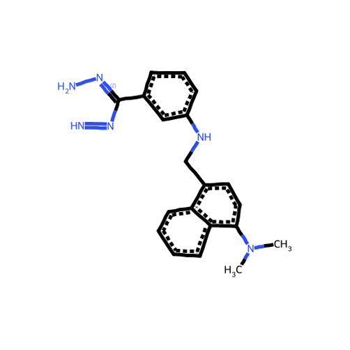 CN(C)c1ccc(CNc2cccc(/C(N=N)=N/N)c2)c2ccccc12